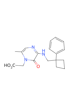 Cc1cnc(NCC2(c3ccccc3)CCC2)c(=O)n1CC(=O)O